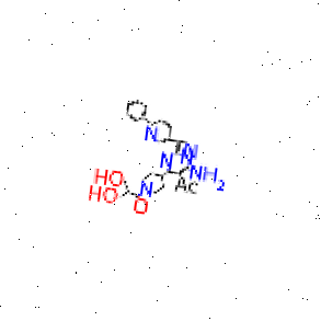 CC(=O)c1c(C2CCN(C(=O)C(CO)CO)CC2)nc2c(-c3ccc(-c4ccccc4)nc3)cnn2c1N